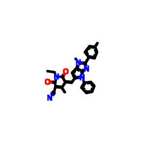 CCN1C(=O)C(C#N)=C(C)/C(=C/c2cc3c(nc(-c4ccc(C)cc4)n3C)n2-c2ccccc2)C1=O